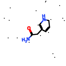 NC(=O)CC1=[C]NCC=C1